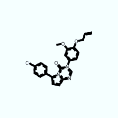 C=CCOc1ccc(-n2cnc3ccc(-c4ccc(Cl)cc4)n3c2=O)cc1OC